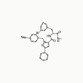 CNC(=O)[C@H](Cc1cccc(Br)c1)NC(=O)c1cc(-c2ccccc2)nn1Cc1ccc(C#N)cc1